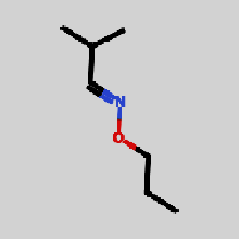 CCCON=CC(C)C